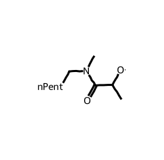 CCCCCCN(C)C(=O)C(C)[O]